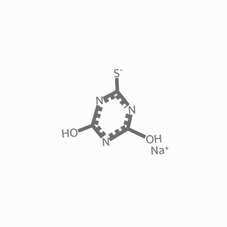 Oc1nc(O)nc([S-])n1.[Na+]